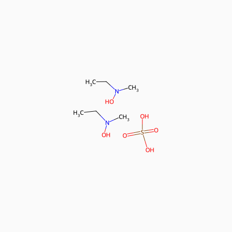 CCN(C)O.CCN(C)O.O=S(=O)(O)O